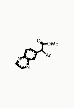 COC(=O)C(C(C)=O)c1ccc2nccnc2c1